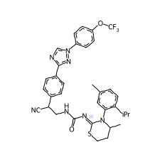 Cc1ccc(C(C)C)c(N2/C(=N/C(=O)NCC(C#N)c3ccc(-c4ncn(-c5ccc(OC(F)(F)F)cc5)n4)cc3)SCCC2C)c1